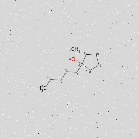 CCCCCC1(OC)CCCC1